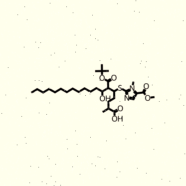 CCCCCCCCCCCCC(O)C(C(=O)OC(C)(C)C)C(CCC(C)C(=O)O)Sc1ncc(C(=O)OC)n1C